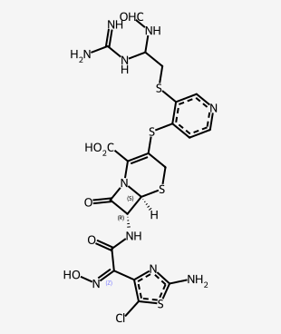 N=C(N)NC(CSc1cnccc1SC1=C(C(=O)O)N2C(=O)[C@@H](NC(=O)/C(=N\O)c3nc(N)sc3Cl)[C@@H]2SC1)NC=O